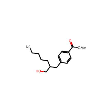 COC(=O)c1ccc(CC(CO)CCCCC#N)cc1